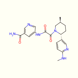 CNc1ccc([C@H]2CC[C@H](C)CN2C(=O)C(=O)Nc2cncc(C(N)=O)c2)cn1